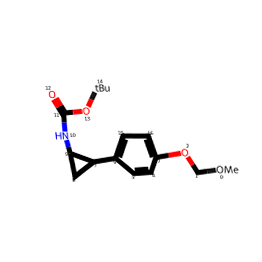 COCOc1ccc(C2CC2NC(=O)OC(C)(C)C)cc1